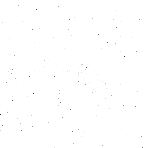 CO[C@H]1C[C@H]2C=C[C@H]3[C@H]4O[C@]2(/C(C)=C/[C@@H](C)[C@@H]([C@@H](C)O)OC1=O)[C@@H]3[C@H](O)[C@@H](C)[C@H]4OC(=O)c1[nH]c(Br)c(Br)c1Br